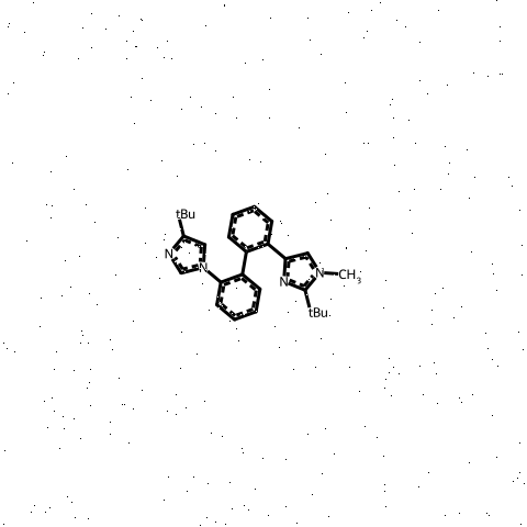 Cn1cc(-c2ccccc2-c2ccccc2-n2cnc(C(C)(C)C)c2)nc1C(C)(C)C